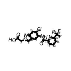 O=C(O)Cn1cc2cc(NC(=O)c3cccc(C(F)(F)F)n3)c(Cl)cc2n1